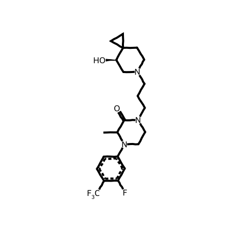 CC1C(=O)N(CCCN2CCC3(CC3)[C@H](O)C2)CCN1c1ccc(C(F)(F)F)c(F)c1